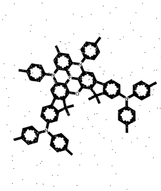 Cc1ccc(N(c2ccc(C)cc2)c2ccc3c(c2)C(C)(C)c2c-3cc3c4c2Oc2c5c(cc6c2P4(=S)c2c(cc(C)cc2N6c2ccc(C)cc2)N3c2ccc(C)cc2)-c2ccc(N(c3ccc(C)cc3)c3ccc(C)cc3)cc2C5(C)C)cc1